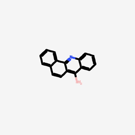 Bc1c2ccccc2nc2c1ccc1ccccc12